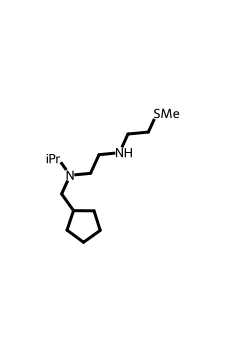 CSCCNCCN(CC1CCCC1)C(C)C